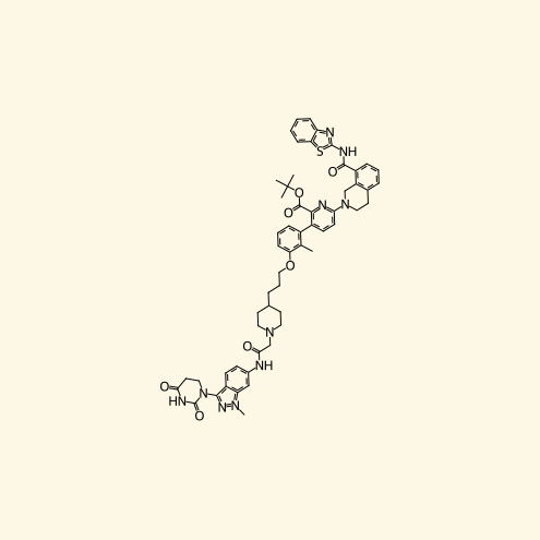 Cc1c(OCCCC2CCN(CC(=O)Nc3ccc4c(N5CCC(=O)NC5=O)nn(C)c4c3)CC2)cccc1-c1ccc(N2CCc3cccc(C(=O)Nc4nc5ccccc5s4)c3C2)nc1C(=O)OC(C)(C)C